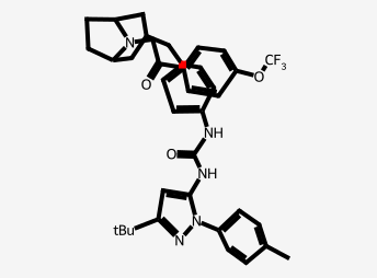 Cc1ccc(-n2nc(C(C)(C)C)cc2NC(=O)Nc2ccc(CC3CC4CCC(C3)N4CC(=O)c3ccc(OC(F)(F)F)cc3)cc2)cc1